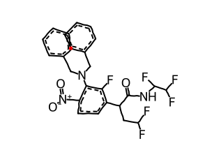 O=C(NC(F)C(F)F)C(CC(F)F)c1ccc([N+](=O)[O-])c(N(Cc2ccccc2)Cc2ccccc2)c1F